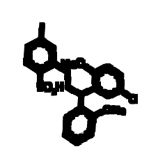 COc1ccccc1C(CCc1cc(C)ccc1S(=O)(=O)O)c1cc(Cl)ccc1OC